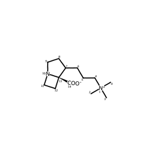 C[N+](C)(C)CCCC1CCN2CC[C@@]12C(=O)[O-]